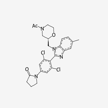 CC(=O)N1CCO[C@@H](Cn2c(-c3c(Cl)cc(N4CCCC4=O)cc3Cl)nc3cc(C)ccc32)C1